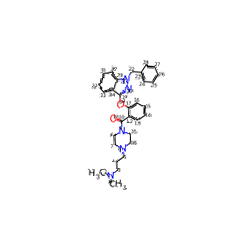 CN(C)CCCN1CCN(C(=O)c2ccccc2Oc2nn(Cc3ccccc3)c3ccccc23)CC1